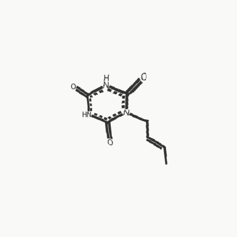 CC=CCn1c(=O)[nH]c(=O)[nH]c1=O